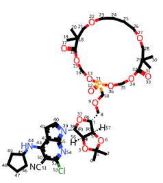 CC1(C)O[C@@H]2[C@H](O1)[C@@H](COCP1(=O)OCOC(=O)C(C)(C)COCCCCOCC(C)(C)C(=O)OCO1)O[C@H]2n1ccc2c(NC3CCCC3)c(C#N)c(Cl)nc21